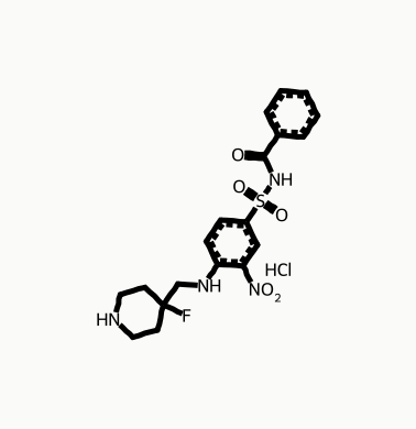 Cl.O=C(NS(=O)(=O)c1ccc(NCC2(F)CCNCC2)c([N+](=O)[O-])c1)c1ccccc1